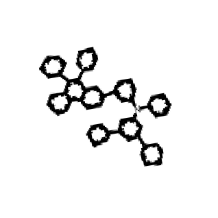 c1ccc(-c2cc(-c3ccccc3)cc(N(c3ccccc3)c3cccc(-c4ccc5c(c4)c(-c4ccccc4)c(-c4ccccc4)c4ccccc45)c3)c2)cc1